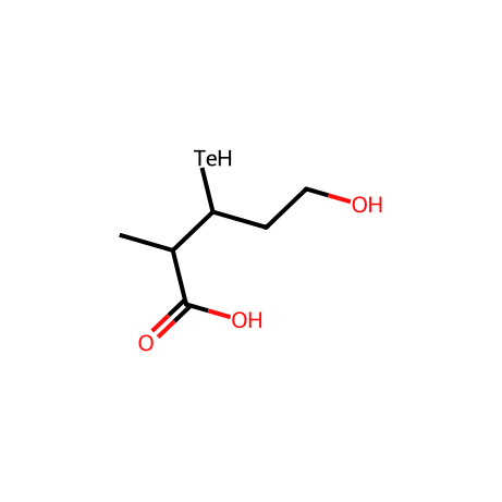 CC(C(=O)O)C([TeH])CCO